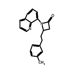 Cc1cccc(CCC2CC(=O)N2c2cccc3cccnc23)c1